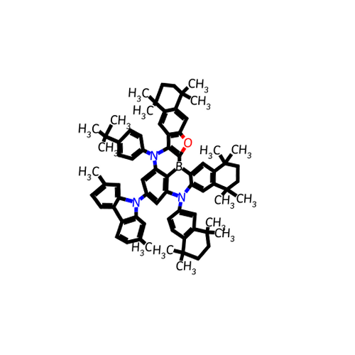 Cc1ccc2c3ccc(C)cc3n(-c3cc4c5c(c3)N(c3ccc(C(C)(C)C)cc3)c3c(oc6cc7c(cc36)C(C)(C)CCC7(C)C)B5c3cc5c(cc3N4c3ccc4c(c3)C(C)(C)CCC4(C)C)C(C)(C)CCC5(C)C)c2c1